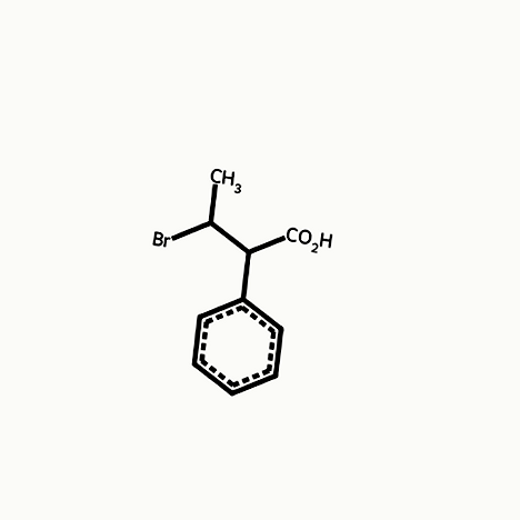 CC(Br)C(C(=O)O)c1ccccc1